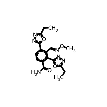 CCc1nnc(-c2ccc(C(N)=O)c(-c3nnc(CC)o3)c2C=NOC)o1